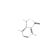 COc1ccc(OC)c2c1C(=N)NC2S